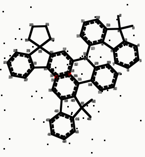 CC1(C)c2ccccc2-c2c(N(c3ccc4c(c3)C3(CCCC3)c3ccccc3-4)c3ccccc3-c3cccc4c3C(C)(C)c3ccccc3-4)cccc21